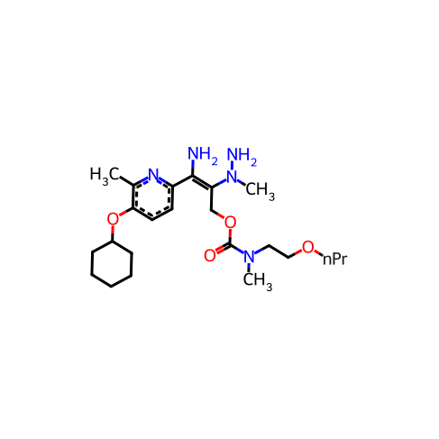 CCCOCCN(C)C(=O)OC/C(=C(/N)c1ccc(OC2CCCCC2)c(C)n1)N(C)N